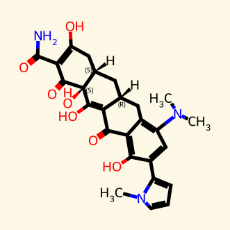 CN(C)c1cc(-c2cccn2C)c(O)c2c1C[C@H]1C[C@H]3CC(O)=C(C(N)=O)C(=O)[C@@]3(O)C(O)=C1C2=O